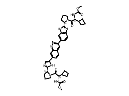 COC(=O)N[C@H](C(=O)N1CCC[C@H]1c1ncc(-c2ccc3cc(-c4ccc5nc([C@@H]6CCCN6C(=O)[C@@H](NC(=O)OC)C6CCC6)[nH]c5c4)nnc3c2)[nH]1)C1CCC1